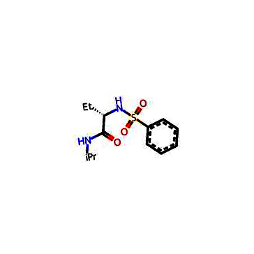 CC[C@H](NS(=O)(=O)c1ccccc1)C(=O)NC(C)C